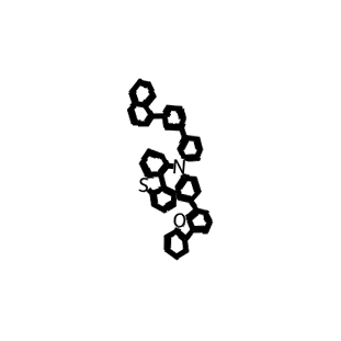 C1=Cc2oc3c(-c4ccc(N(c5cccc(-c6cccc(-c7cccc8ccccc78)c6)c5)c5cccc6sc7ccccc7c56)cc4)cccc3c2CC1